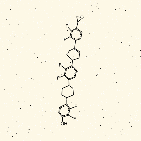 Oc1ccc(C2CCC(c3ccc(C4CC=C(c5ccc(C6CO6)c(F)c5F)CC4)c(F)c3F)CC2)c(F)c1F